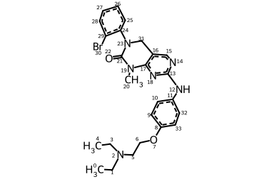 CCN(CC)CCOc1ccc(Nc2ncc3c(n2)N(C)C(=O)N(c2ccccc2Br)C3)cc1